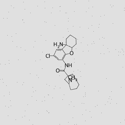 CN1C2CCCC1CC(C(=O)Nc1cc(Cl)cc3c1OC1CCCCC31N)C2